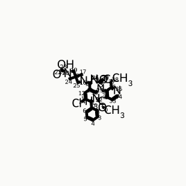 COc1ccccc1-c1nc2c(cc1Cl)c(N1CC3(CN(C(=O)O)C3)C1)nc(=O)n2-c1c(C)ccnc1C(C)C